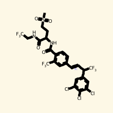 CS(=O)(=O)CCC(NC(=O)c1ccc(/C=C/C(c2cc(Cl)c(Cl)c(Cl)c2)C(F)(F)F)cc1C(F)(F)F)C(=O)NCC(F)(F)F